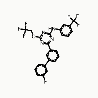 Fc1cccc(-c2cccc(-c3nc(Nc4cccc(C(F)(F)F)c4)nc(OCC(F)(F)F)n3)c2)c1